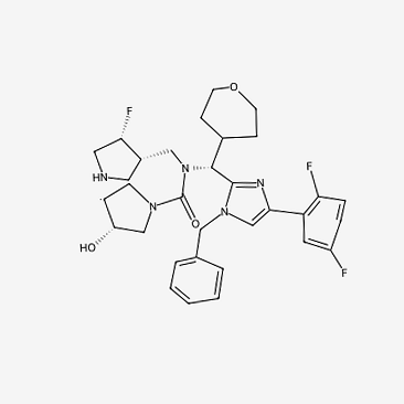 O=C(N1C[CH][C@@H](O)C1)N(C[C@@H]1CNC[C@@H]1F)[C@@H](c1nc(-c2cc(F)ccc2F)cn1Cc1ccccc1)C1CCOCC1